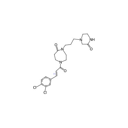 O=C1CN(CCCN2CCN(C(=O)/C=C/c3ccc(Cl)c(Cl)c3)CCC2=O)CCN1